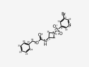 O=C(NC1CN(S(=O)(=O)c2cncc(Br)c2)C1)OCc1ccccc1